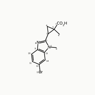 Cn1c(C2CC2(C)C(=O)O)nc2ccc(Br)cc21